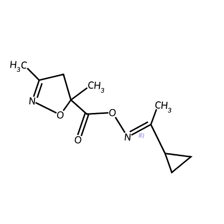 CC1=NOC(C)(C(=O)O/N=C(\C)C2CC2)C1